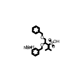 CC(C)=C(C(COCc1ccccc1)OCc1ccccc1)S(=O)(=O)O.[NaH].[NaH]